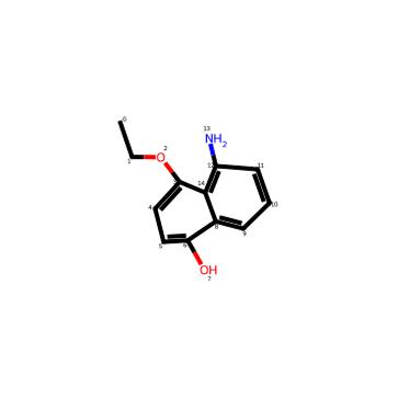 CCOc1ccc(O)c2cccc(N)c12